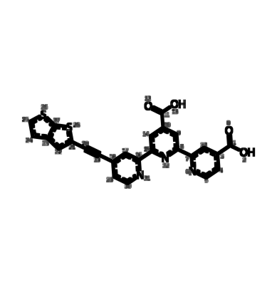 O=C(O)c1ccnc(-c2cc(C(=O)O)cc(-c3cc(C#Cc4cc5ccsc5s4)ccn3)n2)c1